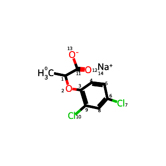 CC(Oc1ccc(Cl)cc1Cl)C(=O)[O-].[Na+]